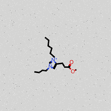 CCCCCC[n+]1cn(CCCC)cc1CCC(=O)OC